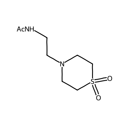 CC(=O)NCCN1CCS(=O)(=O)CC1